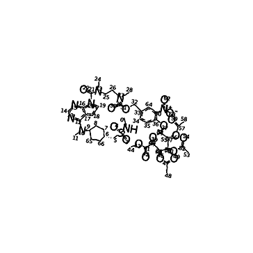 CNS(=O)(=O)C[C@H]1CC[C@H](N(C)c2ncnc3c2ccn3C(=O)N(C)CCN(C)C(=O)OCc2ccc(O[C@@H]3O[C@H](C(=O)OC)[C@@H](OC(C)=O)[C@H](OC(C)=O)[C@H]3OC(C)=O)c([N+](=O)[O-])c2)CC1